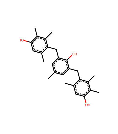 Cc1cc(Cc2c(C)cc(O)c(C)c2C)c(O)c(Cc2c(C)cc(O)c(C)c2C)c1